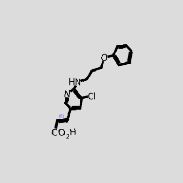 O=C(O)/C=C/c1cnc(NCCCOc2ccccc2)c(Cl)c1